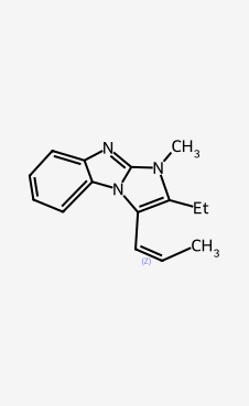 C/C=C\c1c(CC)n(C)c2nc3ccccc3n12